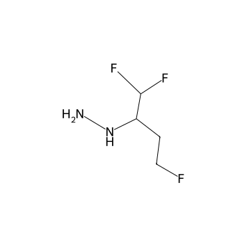 NNC(CCF)C(F)F